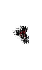 [2H]c1c2c(c([2H])c(OC)c1OC([2H])([2H])[2H])C1([2H])N(CC2)C([2H])([2H])C([2H])(C([2H])([2H])C([2H])(C)C([2H])([2H])[2H])C([2H])(OC(=O)[C@@]([2H])(N)C([2H])(C([2H])([2H])[2H])C([2H])([2H])[2H])C1([2H])[2H]